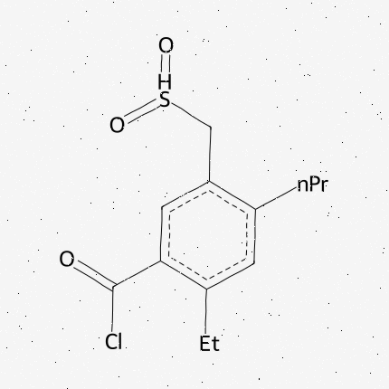 CCCc1cc(CC)c(C(=O)Cl)cc1C[SH](=O)=O